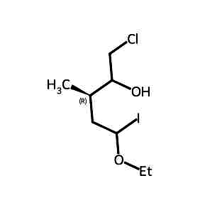 CCOC(I)C[C@@H](C)C(O)CCl